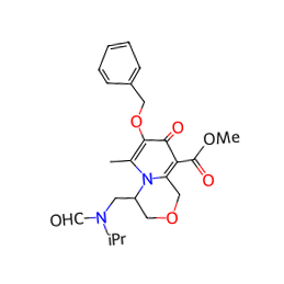 COC(=O)c1c2n(c(C)c(OCc3ccccc3)c1=O)C(CN(C=O)C(C)C)COC2